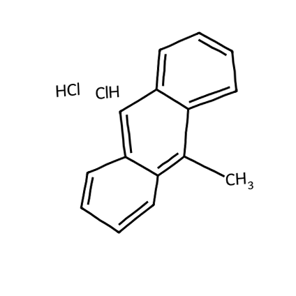 Cc1c2ccccc2cc2ccccc12.Cl.Cl